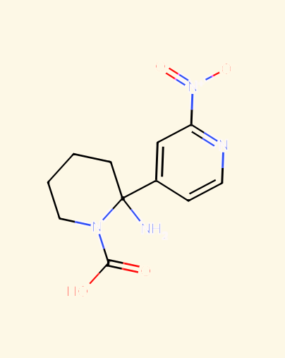 NC1(c2ccnc([N+](=O)[O-])c2)CCCCN1C(=O)O